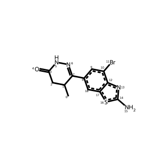 CC1CC(=O)NN=C1c1cc(Br)c2nc(N)sc2c1